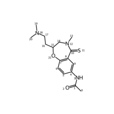 CC(=O)Nc1ccc2c(c1)C(=S)N(C)CC(CCN(C)C)O2